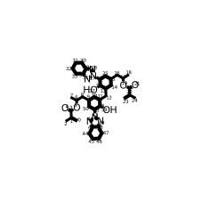 C=C(C)C(=O)OC(C)Cc1cc(Cc2cc(CC(C)OC(=O)C(=C)C)cc(-n3nc4ccccc4n3)c2O)c(O)c(-n2nc3ccccc3n2)c1